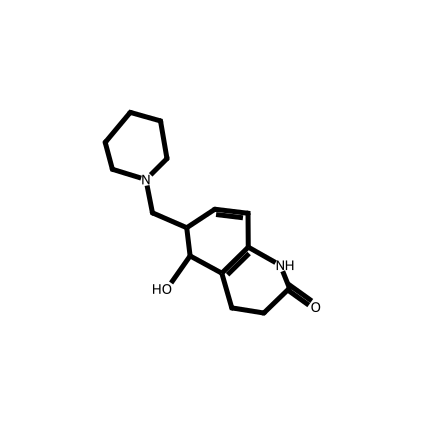 O=C1CCC2=C(C=CC(CN3CCCCC3)C2O)N1